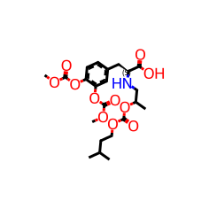 COC(=O)Oc1ccc(C[C@H](NCC(C)OC(=O)OCCC(C)C)C(=O)O)cc1OC(=O)OC